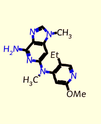 CCc1cnc(OC)cc1N(C)c1cc2c(ncn2C)c(N)n1